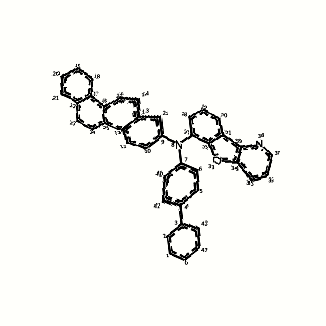 c1ccc(-c2ccc(N(c3ccc4c(ccc5c6ccccc6ccc45)c3)c3cccc4c3oc3cccnc34)cc2)cc1